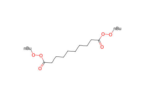 CCCCOOC(=O)CCCCCCCCC(=O)OOCCCC